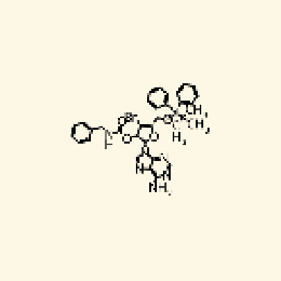 CC(C)(C)[Si](OC[C@H]1O[C@@H](n2cnc3c(N)ncnc32)C(OC(=O)NCc2ccccc2)[C@H]1Br)(c1ccccc1)c1ccccc1